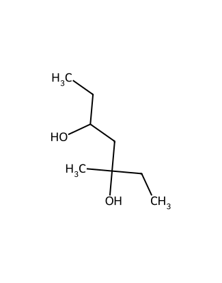 CCC(O)CC(C)(O)CC